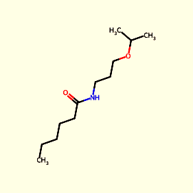 CCCCCC(=O)NCCCOC(C)C